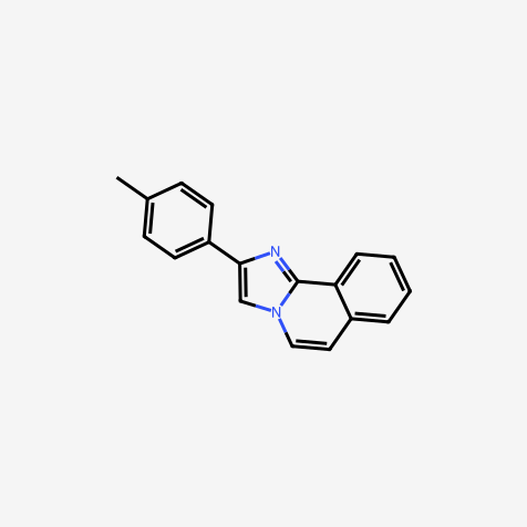 Cc1ccc(-c2cn3ccc4ccccc4c3n2)cc1